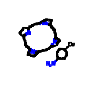 C1=Cc2cc3ccc(cc4nc(cc5ccc(cc1n2)[nH]5)C=C4)[nH]3.Nc1cc[c]([Cu])cc1